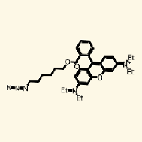 CCN(CC)c1ccc2c(-c3ccccc3C(=O)OCCCCCCN=[N+]=[N-])c3ccc(=[N+](CC)CC)cc-3oc2c1